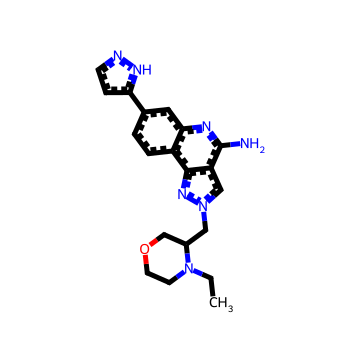 CCN1CCOCC1Cn1cc2c(N)nc3cc(-c4ccn[nH]4)ccc3c2n1